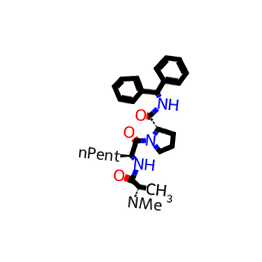 CCCCC[C@H](NC(=O)[C@H](C)NC)C(=O)N1CCC[C@H]1C(=O)NC(c1ccccc1)c1ccccc1